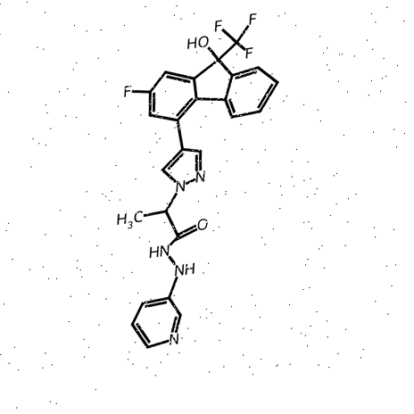 CC(C(=O)NNc1cccnc1)n1cc(-c2cc(F)cc3c2-c2ccccc2C3(O)C(F)(F)F)cn1